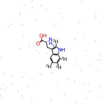 [2H]c1cc2c(C[C@@H](N)C(=O)O)c([2H])[nH]c2c([2H])c1[2H]